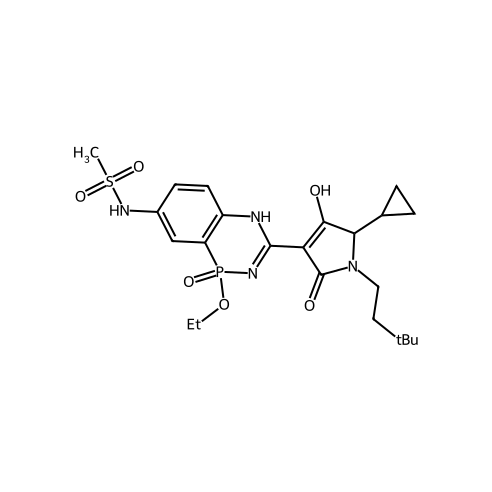 CCOP1(=O)N=C(C2=C(O)C(C3CC3)N(CCC(C)(C)C)C2=O)Nc2ccc(NS(C)(=O)=O)cc21